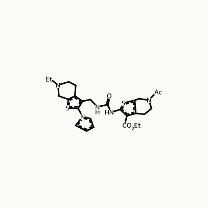 CCOC(=O)c1c(NC(=O)NCc2c(-n3cccc3)sc3c2CCN(CC)C3)sc2c1CCN(C(C)=O)C2